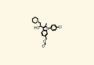 Cc1c(C(O)CN2CCCCC2)c2ccc(COC=O)cc2n1-c1ccc(Cl)cc1